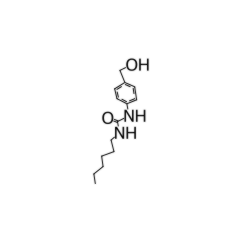 CCCCCCNC(=O)Nc1ccc(CO)cc1